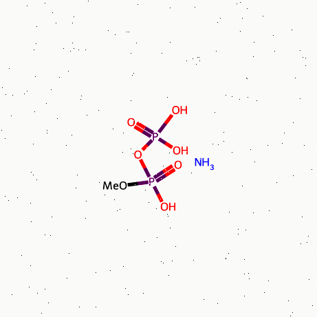 COP(=O)(O)OP(=O)(O)O.N